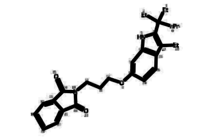 CC[C]C(CC)(CC)c1[nH]c2cc(OCCCN3C(=O)c4ccccc4C3=O)ccc2c1CC